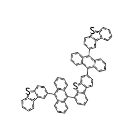 c1ccc2c(c1)sc1ccc(-c3c4ccccc4c(-c4ccc5c(c4)sc4c(-c6c7ccccc7c(-c7ccc8sc9ccccc9c8c7)c7ccccc67)cccc45)c4ccccc34)cc12